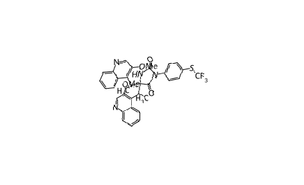 COc1cnc2ccccc2c1C(C)C1(C(C)c2c(OC)cnc3ccccc23)NC(=O)N(c2ccc(SC(F)(F)F)cc2)C1=O